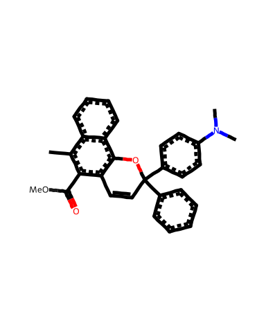 COC(=O)c1c2c(c3ccccc3c1C)OC(c1ccccc1)(c1ccc(N(C)C)cc1)C=C2